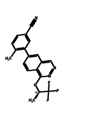 Cc1ccc(C#N)cc1-c1ccc2c(O[C@H](C)C(F)(F)F)nncc2c1